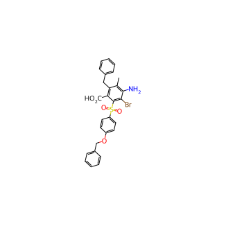 Cc1c(N)c(Br)c(S(=O)(=O)c2ccc(OCc3ccccc3)cc2)c(C(=O)O)c1Cc1ccccc1